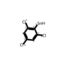 Clc1cc(Cl)[c]([SnH])c(Cl)c1